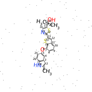 Cc1cc2cc(Oc3cccc4cc(-c5ncc(C(C)(C)O)s5)sc34)ccc2[nH]1